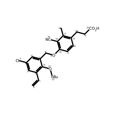 C=Cc1cc(Cl)cc(COc2ccc(CCC(=O)O)c(C)c2C#N)c1OCCCC